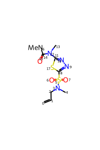 C=CCN(C)S(=O)(=O)c1nnc(N(C)C(=O)NC)s1